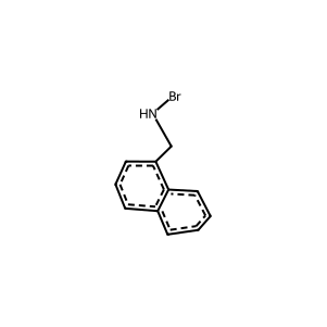 BrNCc1cccc2ccccc12